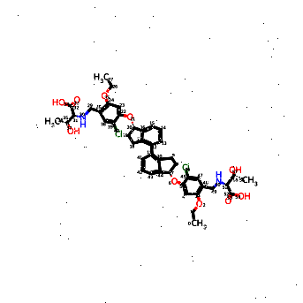 CCOc1cc(O[C@H]2CCc3c(-c4cccc5c4CC[C@@H]5Oc4cc(OCC)c(CN[C@H](C(=O)O)[C@@H](C)O)cc4Cl)cccc32)c(Cl)cc1CN[C@H](C(=O)O)[C@@H](C)O